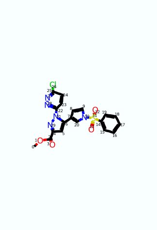 COC(=O)c1cc(-c2ccn(S(=O)(=O)c3ccccc3)c2)n(-c2ccc(Cl)nn2)n1